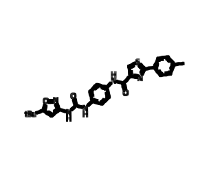 Cc1ccc(-c2nc(C(=O)Nc3ccc(NC(=O)Nc4cc(C(C)(C)C)on4)cc3)cs2)cc1